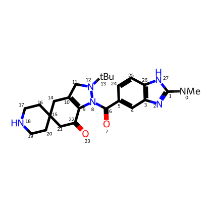 CNc1nc2cc(C(=O)N3C4=C(CN3C(C)(C)C)CC3(CCNCC3)CC4=O)ccc2[nH]1